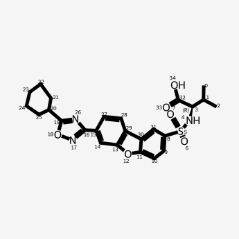 CC(C)[C@@H](NS(=O)(=O)c1ccc2oc3cc(-c4noc(C5CCCCC5)n4)ccc3c2c1)C(=O)O